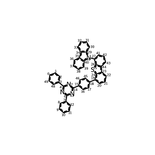 c1ccc(-c2nc(-c3ccccc3)nc(-c3ccc(-c4cccc5c4sc4c(-n6c7ccccc7c7ccccc76)cccc45)cc3)n2)cc1